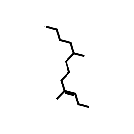 [CH2]CCCC(C)CCCC(C)=CCC